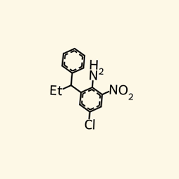 CCC(c1ccccc1)c1cc(Cl)cc([N+](=O)[O-])c1N